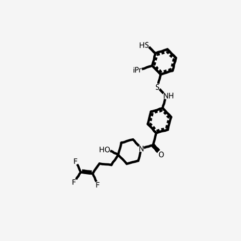 CC(C)c1c(S)cccc1SNc1ccc(C(=O)N2CCC(O)(CCC(F)=C(F)F)CC2)cc1